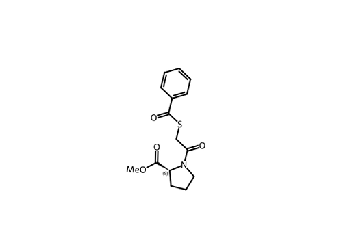 COC(=O)[C@@H]1CCCN1C(=O)CSC(=O)c1ccccc1